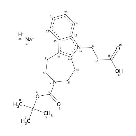 CC(C)(C)OC(=O)N1CCc2c(n(CCC(=O)O)c3ccccc23)CC1.[H-].[Na+]